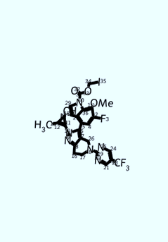 COc1c(F)cc(-c2c3c(nn2C2=C(C)[C@@H]2C)CCN(c2ncc(C(F)(F)F)cn2)C3)c2ccn(C(=O)OCI)c12